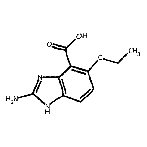 CCOc1ccc2[nH]c(N)nc2c1C(=O)O